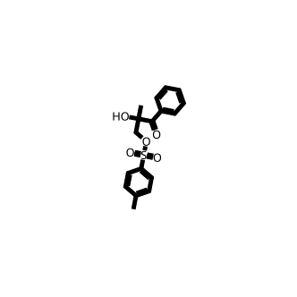 Cc1ccc(S(=O)(=O)OCC(C)(O)C(=O)c2ccccc2)cc1